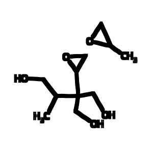 CC(CO)C(CO)(CO)C1CO1.CC1CO1